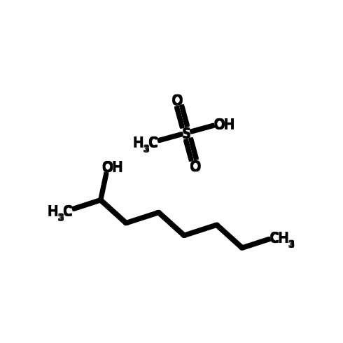 CCCCCCC(C)O.CS(=O)(=O)O